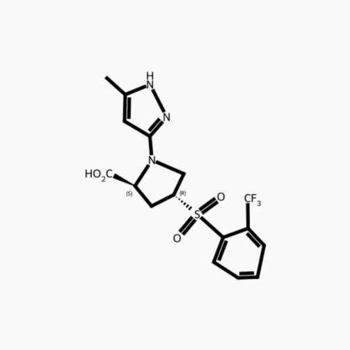 Cc1cc(N2C[C@H](S(=O)(=O)c3ccccc3C(F)(F)F)C[C@H]2C(=O)O)n[nH]1